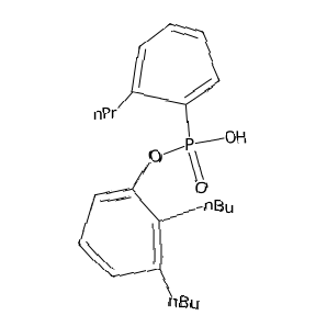 CCCCc1cccc(OP(=O)(O)c2ccccc2CCC)c1CCCC